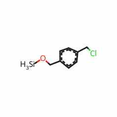 [SiH3]OCc1ccc(CCl)cc1